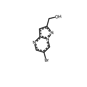 OCc1cc2ncc(Br)cn2n1